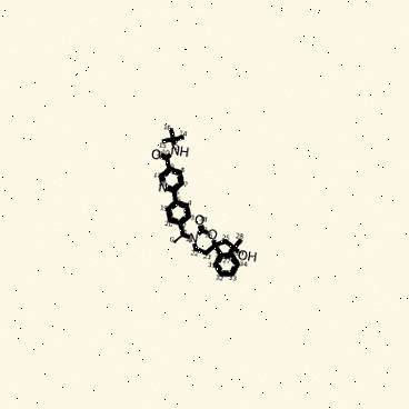 C[C@@H](c1ccc(-c2ccc(C(=O)NC(C)(C)C)cn2)cc1)N1CCC(CC(C)(C)O)(c2ccccc2)OC1=O